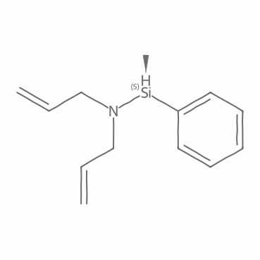 C=CCN(CC=C)[Si@@H](C)c1ccccc1